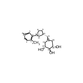 Cc1ccncc1N1CC[C@H](CN2C[C@@H](O)[C@H](O)[C@@H](O)C2)C1